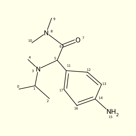 CC(C)N(C)C(C(=O)N(C)C)c1ccc(N)cc1